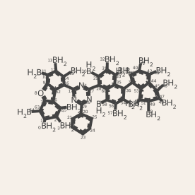 Bc1c(B)c(B)c2c(oc3c(B)c(B)c(B)c(-c4nc(-c5ccccc5)nc(-c5c(B)c(B)c(B)c6c(-c7c(B)c(B)c(B)c8c(B)c(B)c(B)c(B)c78)c(B)c(B)c(B)c56)n4)c32)c1B